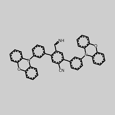 N#Cc1cc(-c2cccc(N3c4ccccc4Oc4ccccc43)c2)c(C=N)cc1-c1cccc(N2c3ccccc3Oc3ccccc32)c1